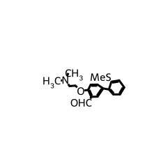 CSc1ccccc1-c1ccc(OCCN(C)C)c(C=O)c1